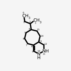 CCC(C)C1CCCC2=CNNCC2CC1